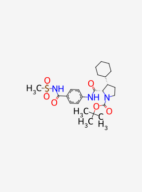 CC(C)(C)OC(=O)N1CC[C@@H](C2CCCCC2)[C@H]1C(=O)Nc1ccc(C(=O)NS(C)(=O)=O)cc1